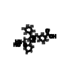 O=C(Cc1c(-c2ccccc2)nn(Cc2cccc(C(=O)O)c2)c1-c1ccccc1)NO